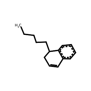 CCCCCC1CC=Cc2ccccc21